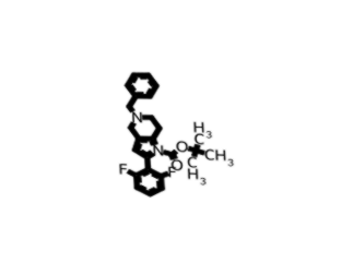 CC(C)(C)OC(=O)n1c(-c2c(F)cccc2F)cc2c1CCN(Cc1ccccc1)C2